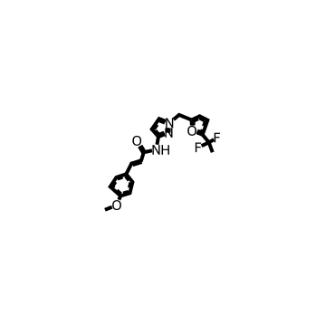 COc1ccc(C=CC(=O)Nc2ccn(Cc3ccc(C(C)(F)F)o3)n2)cc1